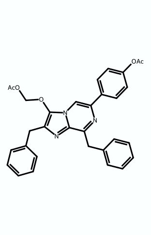 CC(=O)OCOc1c(Cc2ccccc2)nc2c(Cc3ccccc3)nc(-c3ccc(OC(C)=O)cc3)cn12